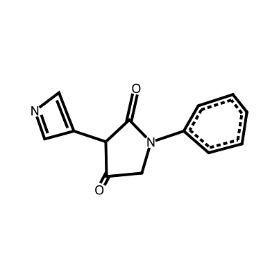 O=C1CN(c2ccccc2)C(=O)C1C1=CN=C1